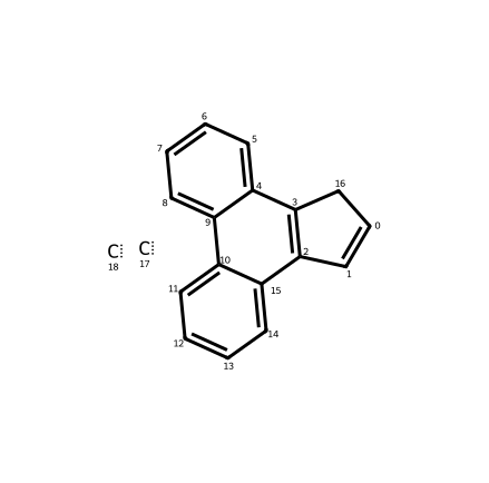 C1=Cc2c(c3ccccc3c3ccccc23)C1.[C].[C]